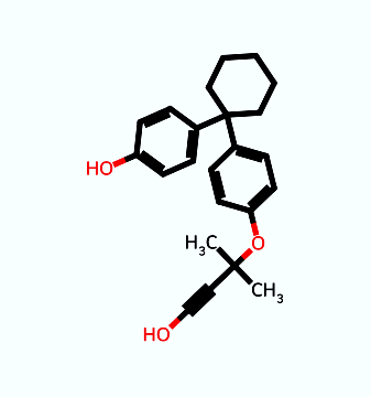 CC(C)(C#CO)Oc1ccc(C2(c3ccc(O)cc3)CCCCC2)cc1